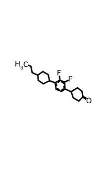 CCCC1CCC(c2ccc(C3CCC(=O)CC3)c(F)c2F)CC1